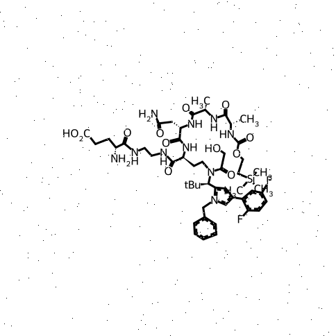 C[C@H](NC(=O)OCC[Si](C)(C)C)C(=O)N[C@@H](C)C(=O)N[C@@H](CC(N)=O)C(=O)N[C@@H](CCN(C(=O)CO)[C@@H](c1cc(-c2cc(F)ccc2F)cn1Cc1ccccc1)C(C)(C)C)C(=O)NCCNC(=O)[C@H](N)CCC(=O)O